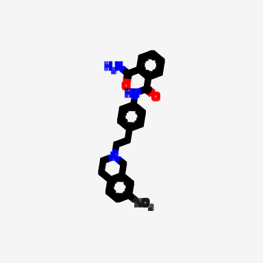 NC(=O)c1ccccc1C(=O)Nc1ccc(CCN2CCc3ccc([N+](=O)[O-])cc3C2)cc1